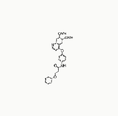 COc1cc2nccc(Oc3ccc(NC(=O)CCOc4ccccc4)cc3)c2cc1OC